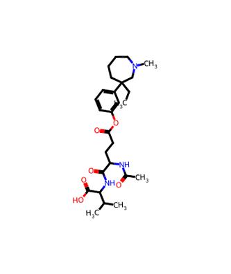 CCC1(c2cccc(OC(=O)CCC(NC(C)=O)C(=O)NC(C(=O)O)C(C)C)c2)CCCCN(C)C1